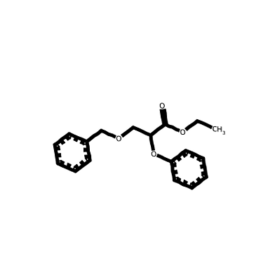 CCOC(=O)C(COCc1ccccc1)Oc1ccccc1